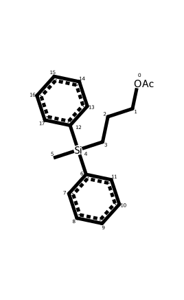 CC(=O)OCCC[Si](C)(c1ccccc1)c1ccccc1